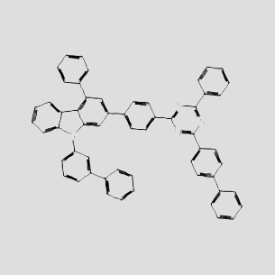 c1ccc(-c2ccc(-c3nc(-c4ccccc4)nc(-c4ccc(-c5cc(-c6ccccc6)c6c7ccccc7n(-c7cccc(-c8ccccc8)c7)c6c5)cc4)n3)cc2)cc1